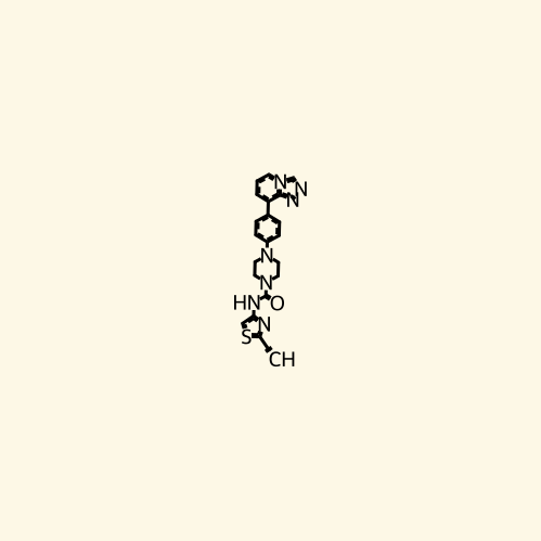 C#Cc1nc(NC(=O)N2CCN(c3ccc(-c4cccn5cnnc45)cc3)CC2)cs1